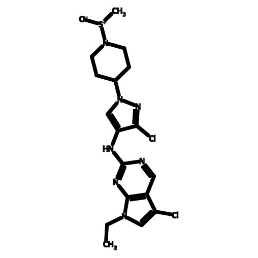 CCn1cc(Cl)c2cnc(Nc3cn(C4CCN([S+](C)[O-])CC4)nc3Cl)nc21